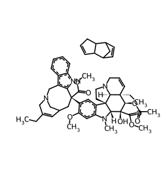 C1=CC2C3C=CC(C3)C2C1.CCC1=CC2CN(C1)Cc1c([nH]c3ccccc13)[C@@](C(=O)OC)(c1cc3c(cc1OC)N(C)[C@H]1[C@@](O)(C(=O)OC)[C@H](OC(C)=O)[C@]4(CC)C=CCN5CC[C@]31[C@@H]54)C2